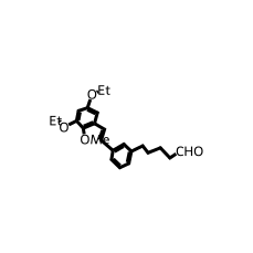 CCOc1cc(C=Cc2cccc(CCCCC=O)c2)c(OC)c(OCC)c1